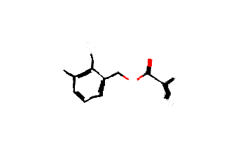 C=C(C)C(=O)OCc1cccc(C)c1C